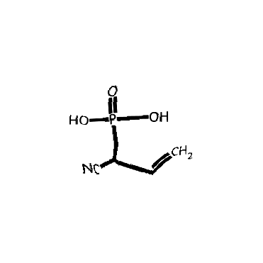 C=CC(C#N)P(=O)(O)O